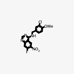 COc1ccc(CNc2ncnc3cc(F)c([N+](=O)[O-])cc23)cc1Cl